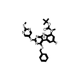 CSc1ncc(Sc2nc(SCc3ccccc3)c3c(n2)[nH]c2c(N(C)C(=O)OC(C)(C)C)cc(F)cc23)cn1